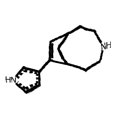 C1=C(c2cc[nH]c2)C2CCNCCC1C2